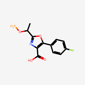 CC(OP)c1nc(C(=O)O)c(-c2ccc(F)cc2)o1